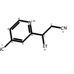 CCC(CC#N)c1cc(C#N)ccn1